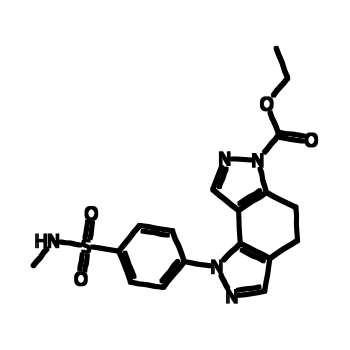 CCOC(=O)n1ncc2c1CCc1cnn(-c3ccc(S(=O)(=O)NC)cc3)c1-2